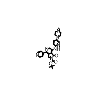 CN1CCN(c2ccc(Nc3cnc(-c4ccncc4)c4c3C(=O)N(C(=O)OC(C)(C)C)C4)nc2)CC1